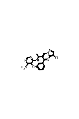 CC(Nc1ncnc(N)c1C#N)c1cn2ncc(Cl)c2nc1-c1ccccc1